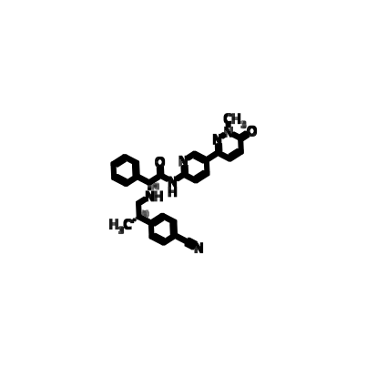 C[C@H](CN[C@@H](C(=O)Nc1ccc(-c2ccc(=O)n(C)n2)cn1)c1ccccc1)c1ccc(C#N)cc1